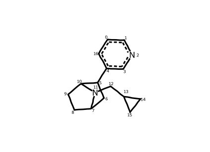 c1cncc(C2CC3CCC2N3CC2CC2)c1